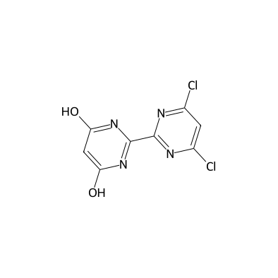 Oc1cc(O)nc(-c2nc(Cl)cc(Cl)n2)n1